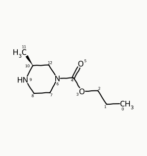 CCCOC(=O)N1CCN[C@@H](C)C1